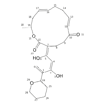 C=C(/C(O)=C\C(O)=C1/CCC(=O)/C=C/CC/C=C/C[C@@H](C)OC1=O)C1CCCCO1